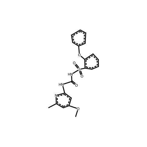 COc1cc(C)nc(NC(=O)NS(=O)(=O)c2ccccc2Oc2ccccc2)c1